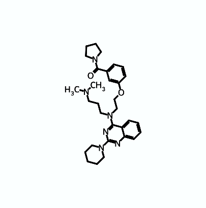 CN(C)CCCN(CCOc1cccc(C(=O)N2CCCC2)c1)c1nc(N2CCCCC2)nc2ccccc12